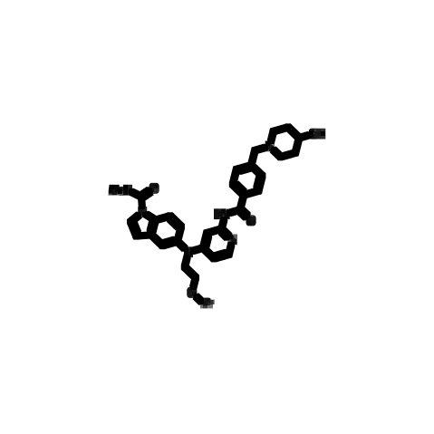 CNC(=O)n1ccc2cc(N(CCOC(C)C)c3ccnc(NC(=O)c4ccc(CN5CCC(O)CC5)cc4)c3)ccc21